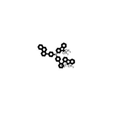 CC1(C)c2ccccc2-c2ccc(N(c3ccc(-c4ccccc4-c4cccc5c4C(C)(C)c4ccccc4-5)cc3)c3ccc(-c4cccc5c4ccc4ccccc45)cc3)cc21